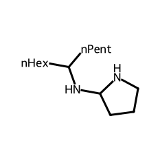 CCCCCCC(CCCCC)NC1CCCN1